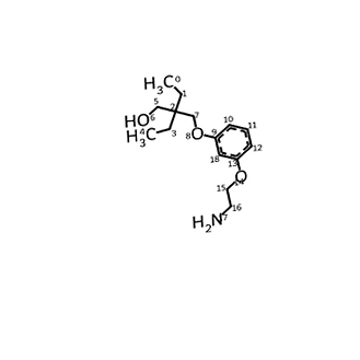 CCC(CC)(CO)COc1cccc(OCCN)c1